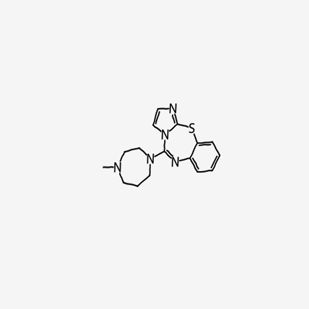 CN1CCCN(C2=Nc3ccccc3Sc3nccn32)CC1